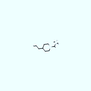 CC(N1CCC(CCO)CC1)S(=O)(=O)O